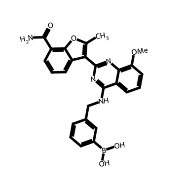 COc1cccc2c(NCc3cccc(B(O)O)c3)nc(-c3c(C)oc4c(C(N)=O)cccc34)nc12